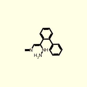 C=N/C=C(\NN)c1ccccc1-c1ccccc1